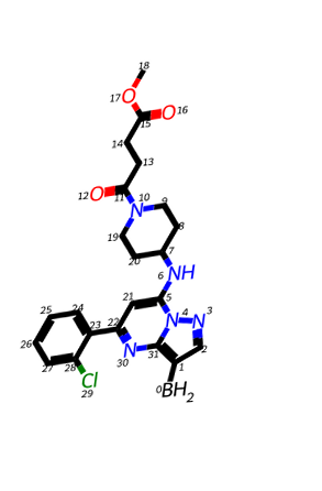 Bc1cnn2c(NC3CCN(C(=O)CCC(=O)OC)CC3)cc(-c3ccccc3Cl)nc12